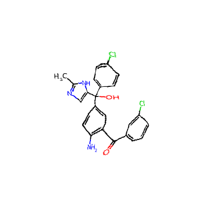 Cc1ncc(C(O)(c2ccc(Cl)cc2)c2ccc(N)c(C(=O)c3cccc(Cl)c3)c2)[nH]1